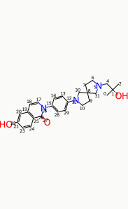 CC(C)(O)CN1CCC2(CCN(c3ccc(-n4ccc5cc(O)ccc5c4=O)cc3)C2)C1